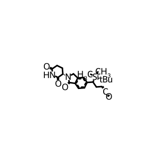 CC(C)(C)[Si](C)(C)C(CC=C=O)c1ccc2c(c1)CN([C@H]1CCC(=O)NC1=O)C2=O